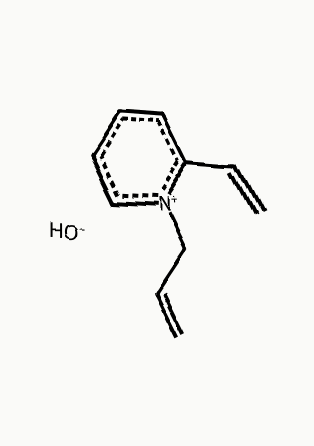 C=CC[n+]1ccccc1C=C.[OH-]